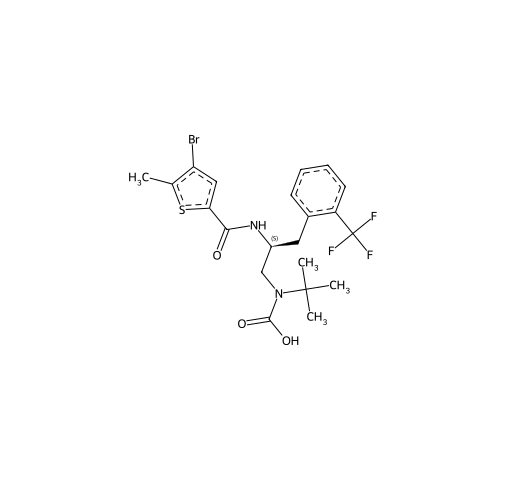 Cc1sc(C(=O)N[C@@H](Cc2ccccc2C(F)(F)F)CN(C(=O)O)C(C)(C)C)cc1Br